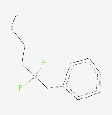 [CH2]CCCC(F)(F)Cc1ccccc1